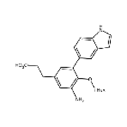 CCCCCCOc1c(N)cc(CCC(=O)O)cc1-c1ccc2[nH]ccc2c1